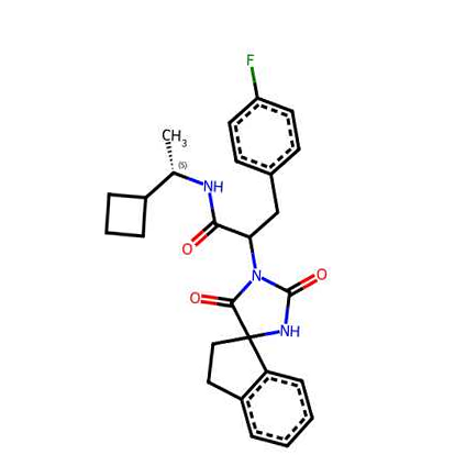 C[C@H](NC(=O)C(Cc1ccc(F)cc1)N1C(=O)NC2(CCc3ccccc32)C1=O)C1CCC1